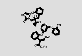 CO/C=C(/C(=O)OC)c1ccccc1Oc1cc(Oc2ccccc2C#N)ncn1.OC(Cc1ccccc1Cl)(Cn1nc[nH]c1=S)C1(Cl)CC1